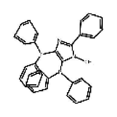 Cn1c(-c2ccccc2)nc(P(c2ccccc2)c2ccccc2)c1P(c1ccccc1)c1ccccc1